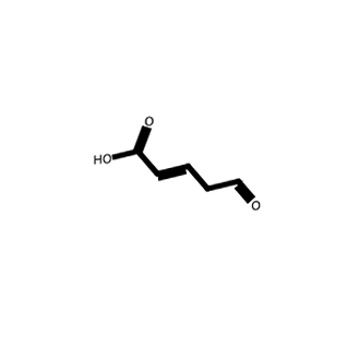 O=[C]CC=CC(=O)O